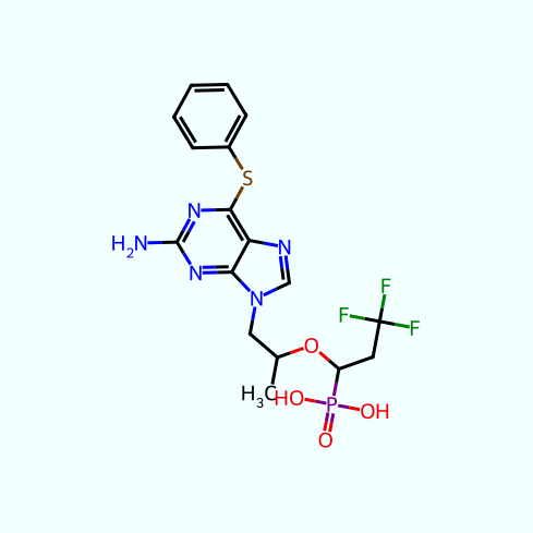 CC(Cn1cnc2c(Sc3ccccc3)nc(N)nc21)OC(CC(F)(F)F)P(=O)(O)O